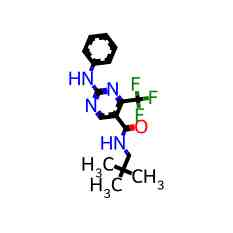 CC(C)(C)CNC(=O)c1cnc(Nc2ccccc2)nc1C(F)(F)F